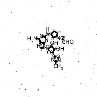 Cc1noc([C@H]2O[C@@H](n3cnc4c(N)nc(NC5CCCC5)nc43)[C@H](O)[C@@H]2O)n1.O=CO